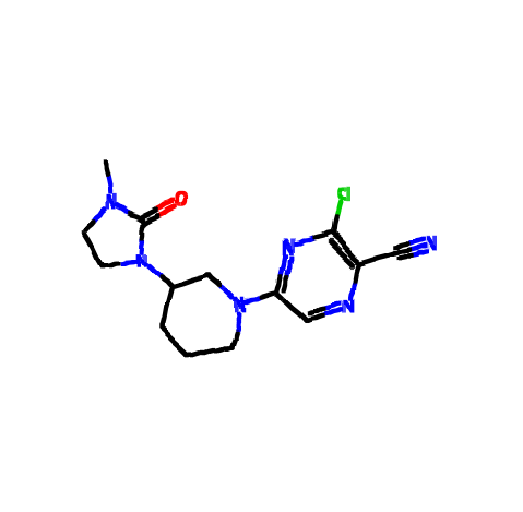 CN1CCN(C2CCCN(c3cnc(C#N)c(Cl)n3)C2)C1=O